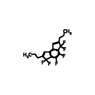 CCCC1=Cc2c3c(c(F)c(F)c2C1(F)F)C(F)(F)C(CCC)=C3